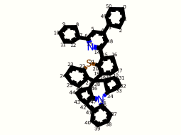 c1ccc(-c2cc(-c3ccccc3)nc(-c3cccc4c3Sc3ccccc3C43c4ccccc4-n4c5ccccc5c5cccc3c54)c2)cc1